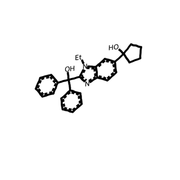 CCn1c(C(O)(c2ccccc2)c2ccccc2)nc2ccc(C3(O)CCCC3)cc21